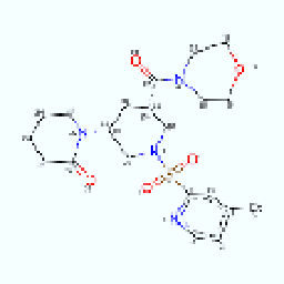 CCc1ccnc(S(=O)(=O)N2C[C@@H](C(=O)N3CCOCC3)C[C@@H](N3CCCCC3=O)C2)c1